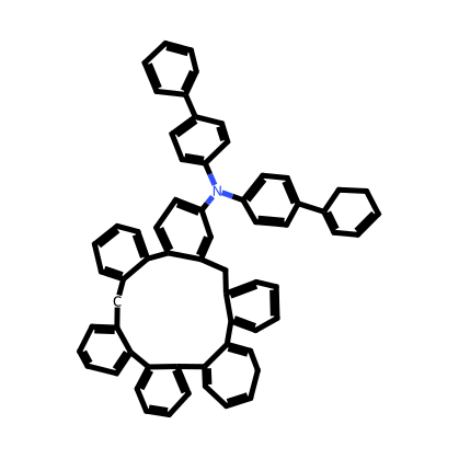 C1=CCC=C2C(=C1)c1ccccc1-c1ccccc1Cc1ccccc1-c1ccc(N(c3ccc(C4=CC=CCC4)cc3)c3ccc(-c4ccccc4)cc3)cc1Cc1ccccc12